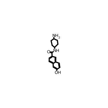 NC1CCC(NC(=O)c2ccc3cc(O)ccc3c2)CC1